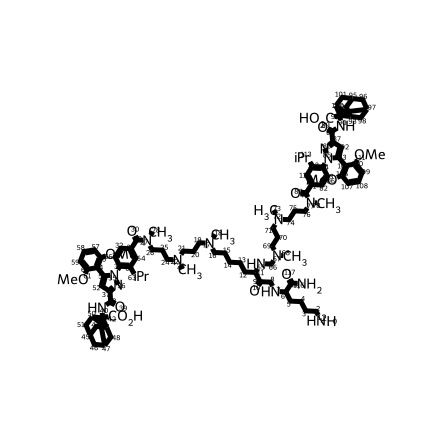 [2H]NCCCCC(NCC(=O)C(CCCCCN(C)CCCN(C)CCCN(C)C(=O)c1ccc(-n2nc(C(=O)NC3(C(=O)O)C4CC5CC(C4)CC3C5)cc2-c2c(OC)cccc2OC)c(C(C)C)c1)NCN(C)CCCN(C)CCCN(C)C(=O)c1ccc(-n2nc(C(=O)NC3(C(=O)O)C4CC5CC(C4)CC3C5)cc2-c2c(OC)cccc2OC)c(C(C)C)c1)C(N)=O